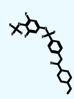 CCC1CCC(C(F)Cc2ccc(C(F)(F)Oc3cc(F)c(OC(F)(F)F)c(F)c3)cc2)CC1